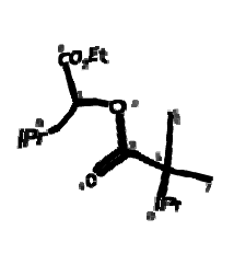 CCOC(=O)C(OC(=O)C(C)(C)C(C)C)C(C)C